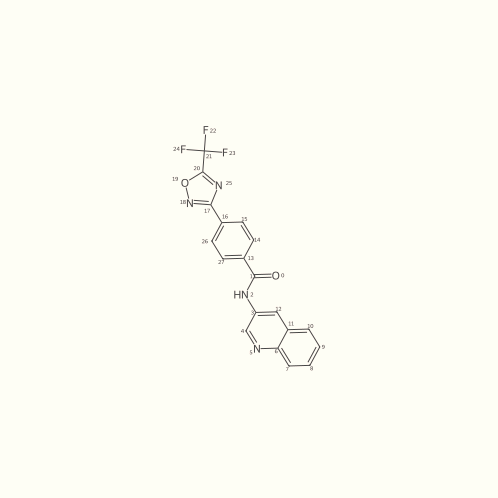 O=C(Nc1cnc2ccccc2c1)c1ccc(-c2noc(C(F)(F)F)n2)cc1